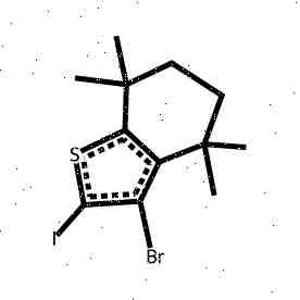 CC1(C)CCC(C)(C)c2c1sc(I)c2Br